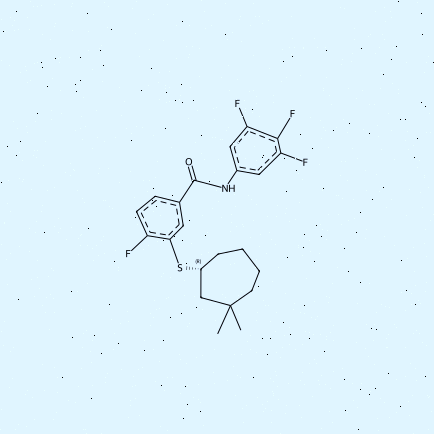 CC1(C)CCCC[C@@H](Sc2cc(C(=O)Nc3cc(F)c(F)c(F)c3)ccc2F)C1